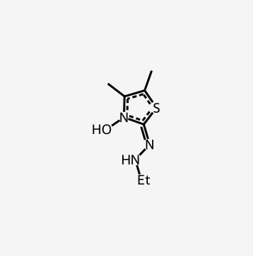 CCNN=c1sc(C)c(C)n1O